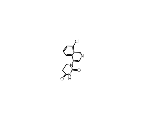 O=C1CCN(c2cncc3c(Cl)cccc23)C(=O)N1